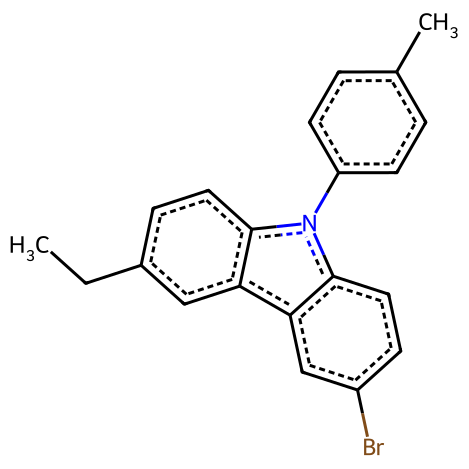 CCc1ccc2c(c1)c1cc(Br)ccc1n2-c1ccc(C)cc1